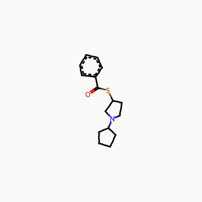 O=C(SC1CCN(C2CCCC2)C1)c1ccccc1